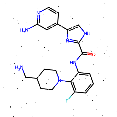 NCC1CCN(c2c(F)cccc2NC(=O)c2nc(-c3ccnc(N)c3)c[nH]2)CC1